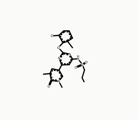 CCCS(=O)(=O)Nc1cc(-c2cc(C)c(=O)n(C)c2)nc(Oc2c(C)cccc2Cl)n1